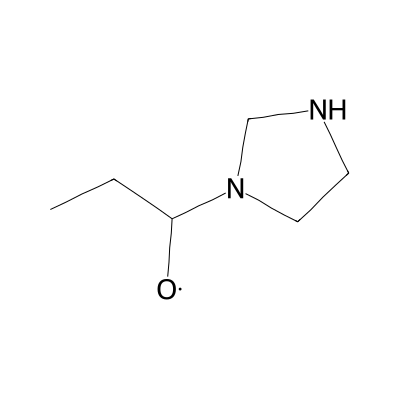 CCC([O])N1CCNC1